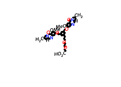 C=C1C[C@H]2C=Nc3cc(OCc4cc(CCCOCCOCCC(=O)O)cc(COc5cc6c(cc5OC)C(=O)N5CC(=C)C[C@H]5C=N6)c4)c(OC)cc3C(=O)N2C1